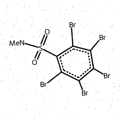 CNS(=O)(=O)c1c(Br)c(Br)c(Br)c(Br)c1Br